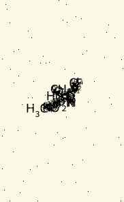 C=CC(=O)Nc1cc(CNc2ccc(F)c(Cl)c2)c(/N=C\N)cc1OCC1COC2(CCN(C)CC2)C1